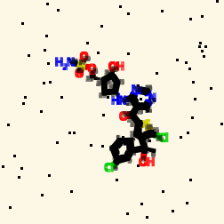 C[C@@](O)(c1cccc(Cl)c1)c1cc(C(=O)c2cncnc2N[C@@H]2C[C@H](COS(N)(=O)=O)[C@@H](O)C2)sc1Cl